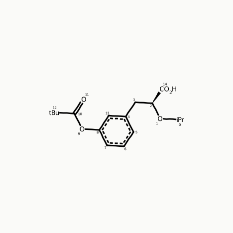 CC(C)O[C@@H](Cc1cccc(OC(=O)C(C)(C)C)c1)C(=O)O